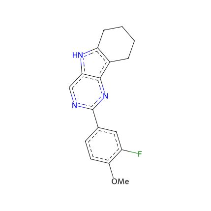 COc1ccc(-c2ncc3[nH]c4c(c3n2)CCCC4)cc1F